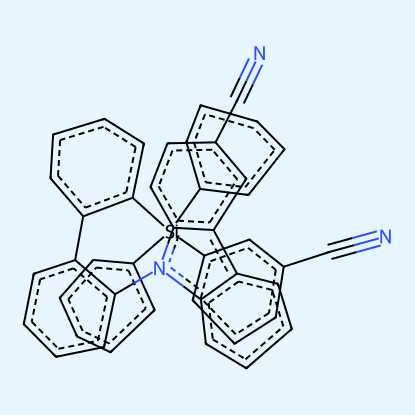 N#Cc1cccc([Si](c2ccccc2)(c2ccccc2)c2ccccc2-c2ccccc2-n2c3ccccc3c3cc(C#N)ccc32)c1